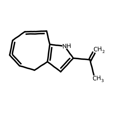 C=C(C)c1cc2c([nH]1)/C=C\C=C=CC2